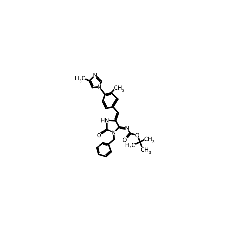 Cc1cn(-c2ccc(/C=C3\NC(=O)N(Cc4ccccc4)\C3=N/C(=O)OC(C)(C)C)cc2C)cn1